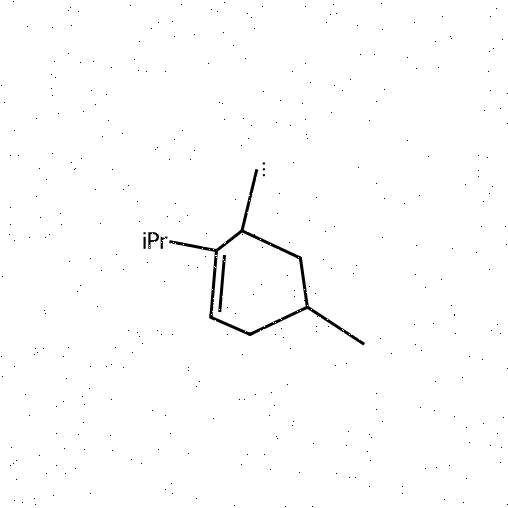 [C]C1CC(C)CC=C1C(C)C